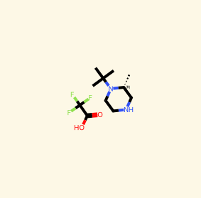 C[C@@H]1CNCCN1C(C)(C)C.O=C(O)C(F)(F)F